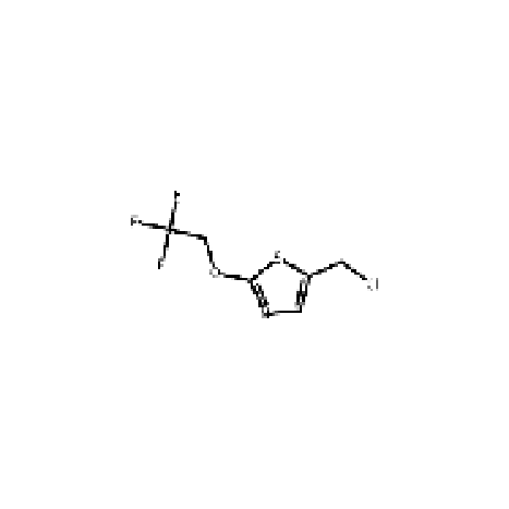 FC(F)(F)COc1ncc(CCl)s1